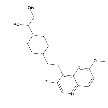 COc1ccc2ncc(F)c(CCN3CCC(C(O)CO)CC3)c2n1